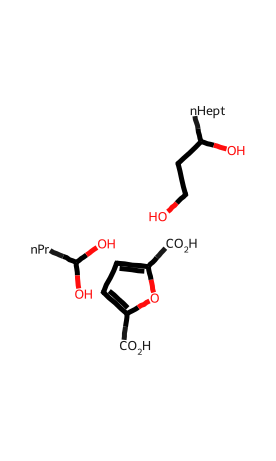 CCCC(O)O.CCCCCCCC(O)CCO.O=C(O)c1ccc(C(=O)O)o1